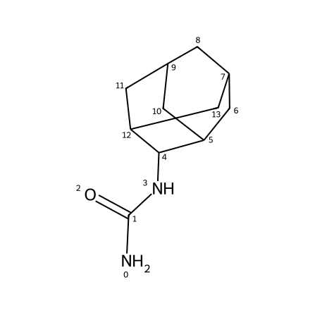 NC(=O)NC1C2CC3CC(C2)CC1C3